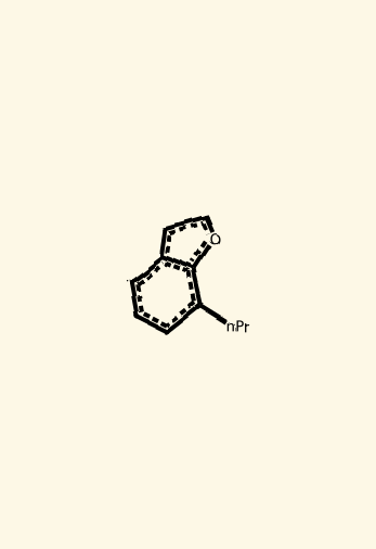 CCCc1cc[c]c2ccoc12